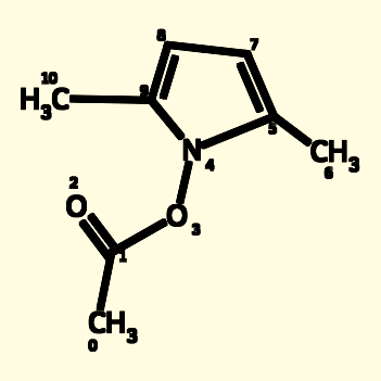 CC(=O)On1c(C)ccc1C